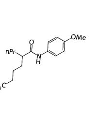 CCCC(CCCC(F)(F)F)C(=O)Nc1ccc(OC)cc1